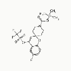 CC(C)(C)OC(=O)N1CCC2(C=C(OS(=O)(=O)C(F)(F)F)c3cc(F)ccc3O2)CC1